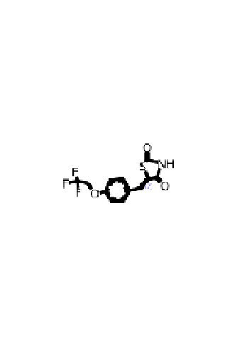 O=C1NC(=O)/C(=C/c2ccc(OCC(F)(F)F)cc2)S1